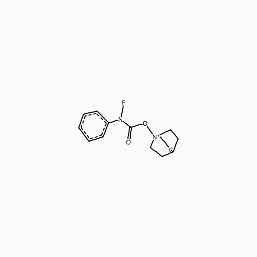 O=C(O[N+]12CCC(CC1)CC2)N(F)c1ccccc1